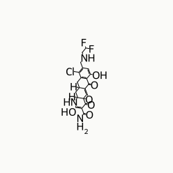 NC(=O)C1=C(O)N[C@@H]2C[C@@H]3Cc4c(Cl)c(CNCC(F)F)cc(O)c4C(=O)C3=C3O[C@]32C1=O